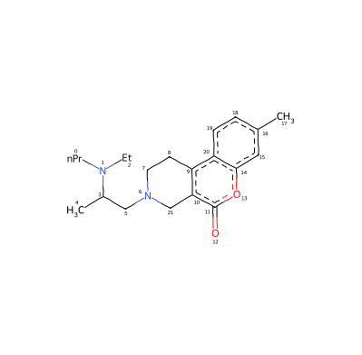 CCCN(CC)C(C)CN1CCc2c(c(=O)oc3cc(C)ccc23)C1